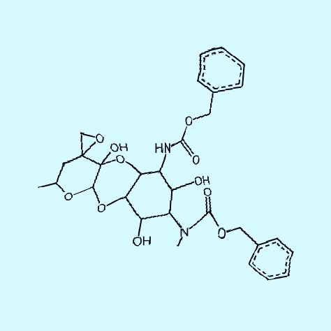 CC1CC2(CO2)C2(O)OC3C(NC(=O)OCc4ccccc4)C(O)C(N(C)C(=O)OCc4ccccc4)C(O)C3OC2O1